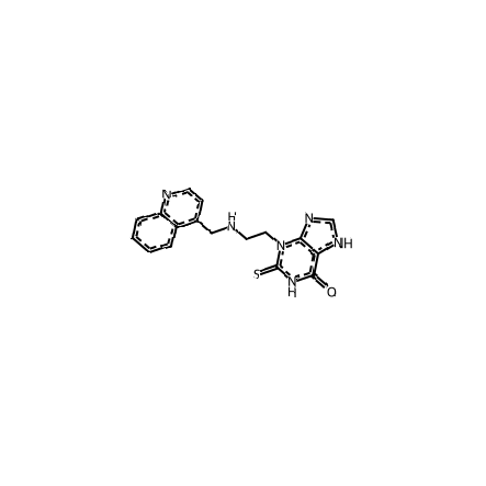 O=c1[nH]c(=S)n(CCNCc2ccnc3ccccc23)c2nc[nH]c12